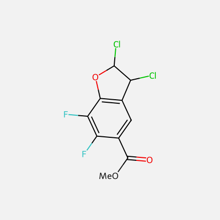 COC(=O)c1cc2c(c(F)c1F)OC(Cl)C2Cl